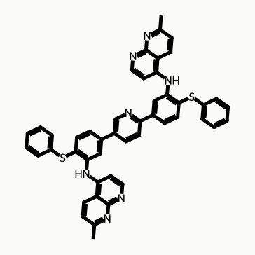 Cc1ccc2c(Nc3cc(-c4ccc(-c5ccc(Sc6ccccc6)c(Nc6ccnc7nc(C)ccc67)c5)nc4)ccc3Sc3ccccc3)ccnc2n1